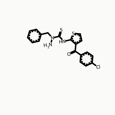 NN(Cc1ccccc1)C(=S)Nc1sccc1C(=O)c1ccc(Cl)cc1